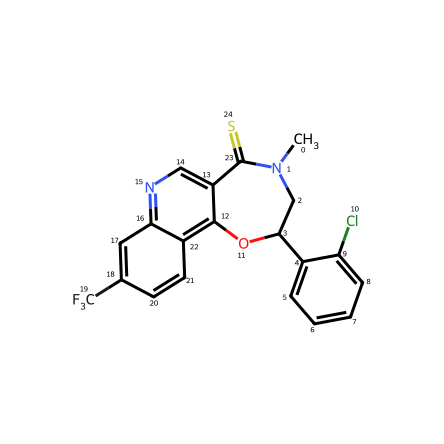 CN1CC(c2ccccc2Cl)Oc2c(cnc3cc(C(F)(F)F)ccc23)C1=S